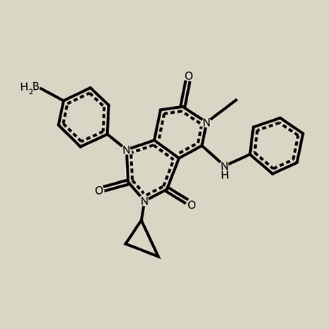 Bc1ccc(-n2c(=O)n(C3CC3)c(=O)c3c(Nc4ccccc4)n(C)c(=O)cc32)cc1